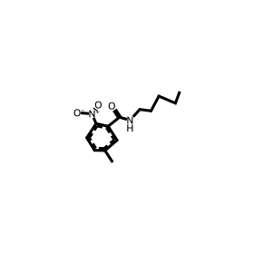 CCCCCNC(=O)c1cc(C)ccc1[N+](=O)[O-]